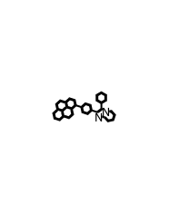 c1ccc(-c2c(-c3ccc(-c4ccc5ccc6cccc7ccc4c5c67)cc3)nc3ccccn23)cc1